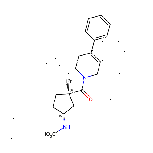 CC(C)[C@]1(C(=O)N2CC=C(c3ccccc3)CC2)CC[C@@H](NC(=O)O)C1